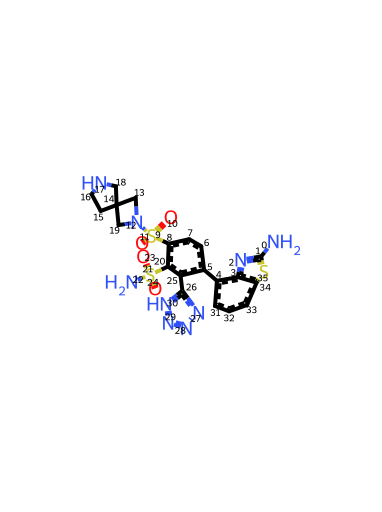 Nc1nc2c(-c3ccc(S(=O)(=O)N4CC5(CCNC5)C4)c(S(N)(=O)=O)c3-c3nnn[nH]3)cccc2s1